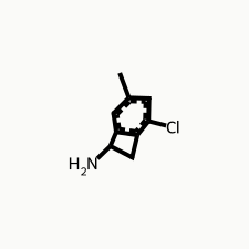 Cc1cc(Cl)c2c(c1)C(N)C2